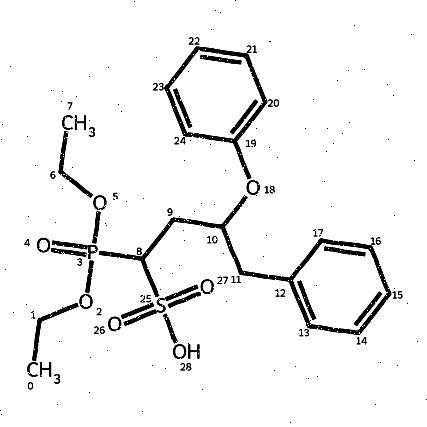 CCOP(=O)(OCC)C(CC(Cc1ccccc1)Oc1ccccc1)S(=O)(=O)O